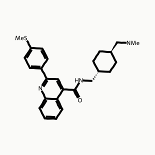 CNC[C@H]1CC[C@H](CNC(=O)c2cc(-c3ccc(SC)cc3)nc3ccccc23)CC1